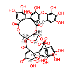 O=C1O[C@H]2[C@@H]3OC(=O)c4cc(Oc5c(C(=O)O)cc(O)c(O)c5O)c(O)c(O)c4-c4c(cc(O)c(O)c4O)C(=O)OC[C@H]2O[C@@H](OC(=O)c2cc(O)c(O)c(O)c2)[C@@H]3OC(=O)c2cc(O)c(O)c3c2[C@@H]2C1=CC(=O)[C@](O)(O3)C2(O)O